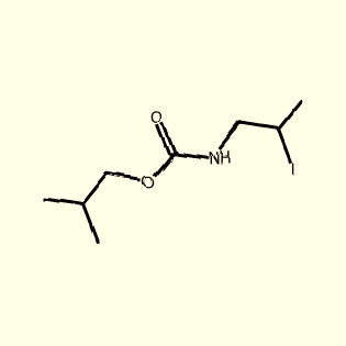 CC(C)COC(=O)NCC(C)I